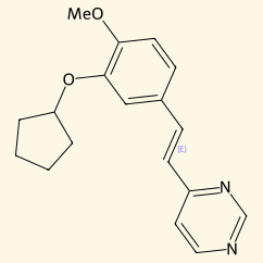 COc1ccc(/C=C/c2ccncn2)cc1OC1CCCC1